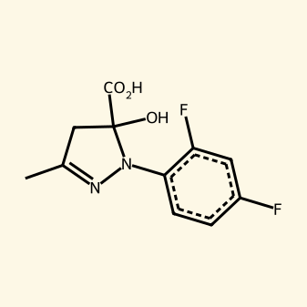 CC1=NN(c2ccc(F)cc2F)C(O)(C(=O)O)C1